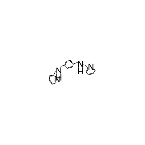 c1ccc(CNCc2ccc(CNCc3ccccn3)cc2)nc1